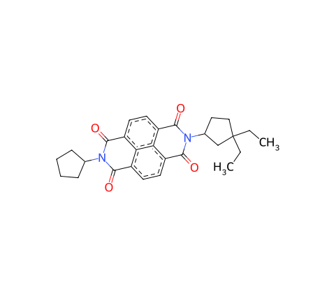 CCC1(CC)CCC(N2C(=O)c3ccc4c5c(ccc(c35)C2=O)C(=O)N(C2CCCC2)C4=O)C1